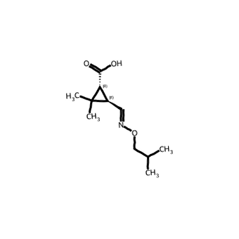 CC(C)CON=C[C@@H]1[C@@H](C(=O)O)C1(C)C